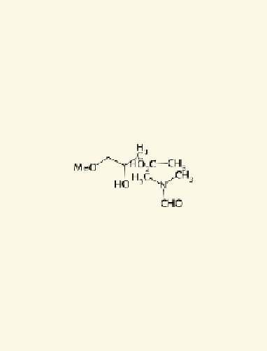 CC(=O)O.CN(C)C=O.COCC(C)O